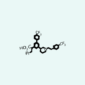 CC(C)C[C@@H](C(=O)O)c1cc(-c2ccc(C(F)(F)F)cc2)cc(C2CCCN(CCc3ccc(C(F)(F)F)cc3)C2)c1